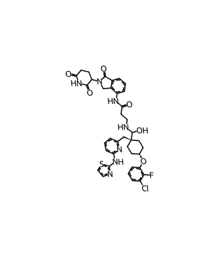 O=C1CCC(N2Cc3c(NC(=O)CCNC(O)[C@]4(Cc5cccc(Nc6nccs6)n5)CC[C@@H](Oc5cccc(Cl)c5F)CC4)cccc3C2=O)C(=O)N1